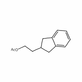 CC(=O)OCCC1Cc2ccccc2C1